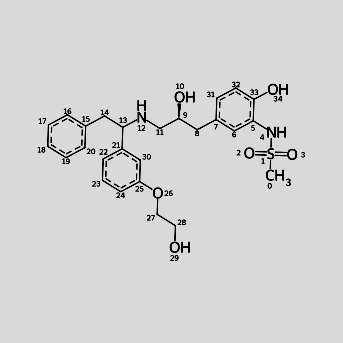 CS(=O)(=O)Nc1cc(C[C@H](O)CNC(Cc2ccccc2)c2cccc(OCCO)c2)ccc1O